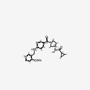 COc1ccncc1CNc1ccc(C(=O)N2CC[C@H](N(C)C(=O)C3CC3)C2)cn1